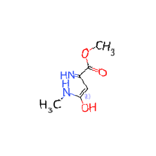 CN/C(O)=C\C(=N)C(=O)OC